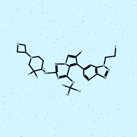 [2H]C([2H])([2H])Oc1nc(N[C@@H]2CCN(C3COC3)CC2(F)F)nn2cc(F)c(-c3ccc4nnn(CCF)c4c3)c12